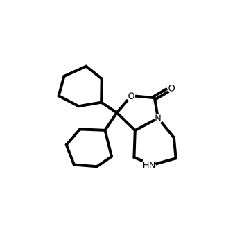 O=C1OC(C2CCCCC2)(C2CCCCC2)C2CNCCN12